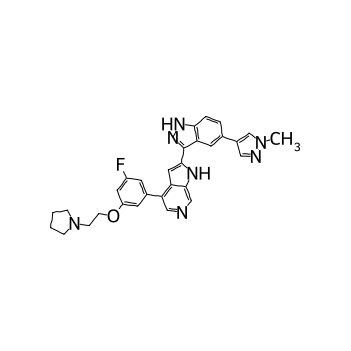 Cn1cc(-c2ccc3[nH]nc(-c4cc5c(-c6cc(F)cc(OCCN7CCCC7)c6)cncc5[nH]4)c3c2)cn1